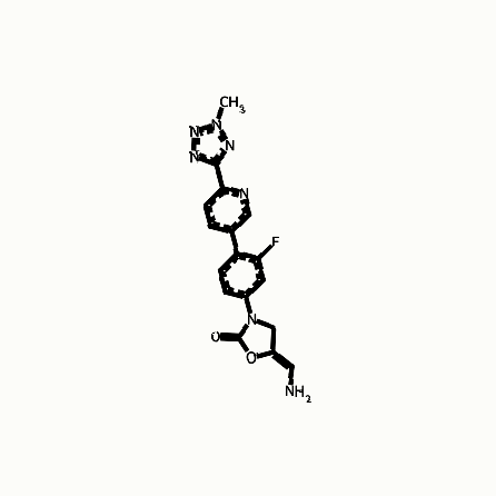 Cn1nnc(-c2ccc(-c3ccc(N4C/C(=C/N)OC4=O)cc3F)cn2)n1